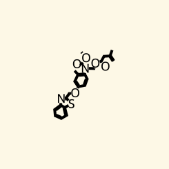 C=C(C)CC(=O)OCN(C(=O)OC)c1ccc(OCc2nc3ccccc3s2)cc1C